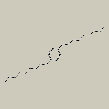 CCCCCCCCCc1ccc(CCCCCCCCC)cc1